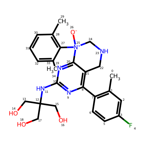 Cc1cc(F)ccc1-c1nc(NC(CO)(CO)CO)nc2c1CNC[N+]2([O-])c1c(C)cccc1C